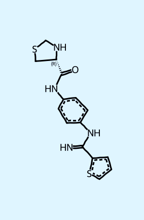 N=C(Nc1ccc(NC(=O)[C@@H]2CSCN2)cc1)c1cccs1